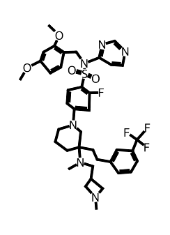 COc1ccc(CN(c2ccncn2)S(=O)(=O)c2ccc(N3CCCC(CCc4cccc(C(F)(F)F)c4)(N(C)CC4CN(C)C4)C3)cc2F)c(OC)c1